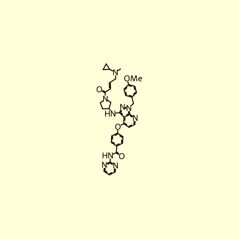 COc1ccc(Cn2nc(NC3CCN(C(=O)C=CCN(C)C4CC4)C3)c3c(Oc4ccc(C(=O)Nc5ncccn5)cc4)ccnc32)cc1